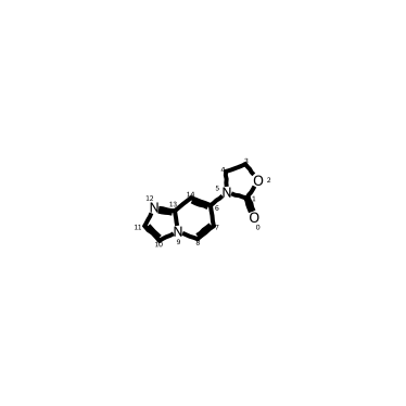 O=C1OCCN1c1ccn2ccnc2c1